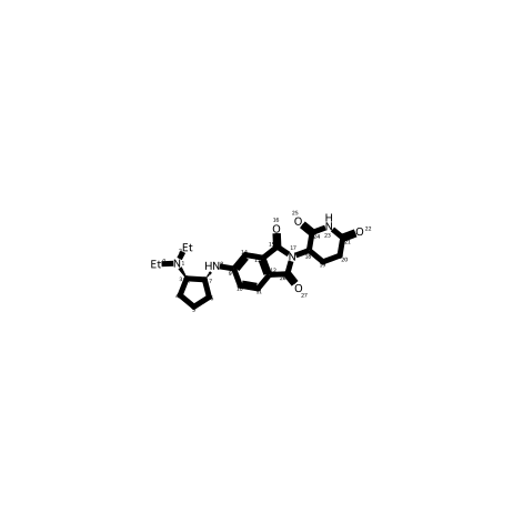 CCN(CC)[C@@H]1CCC[C@H]1Nc1ccc2c(c1)C(=O)N(C1CCC(=O)NC1=O)C2=O